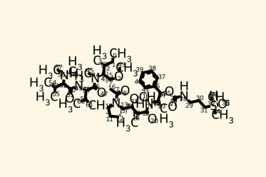 CC[C@H](C)[C@@H]([C@@H](CC(=O)N1CCC[C@H]1[C@H](OC)[C@@H](C)C(=O)N[C@H](C)[C@@H](OC(=O)NCCC[SH](C)(C)=O)c1ccccc1)OC)N(C)C(=O)[C@@H](NC(=O)C(C(C)C)N(C)C)C(C)C